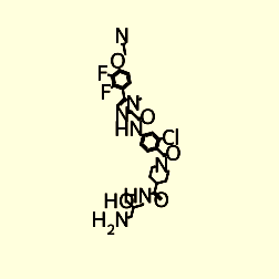 Cn1c(-c2ccc(OCC#N)c(F)c2F)cnc1C(=O)Nc1ccc(C(=O)N2CCC(C(=O)NCC(O)CN)CC2)c(Cl)c1